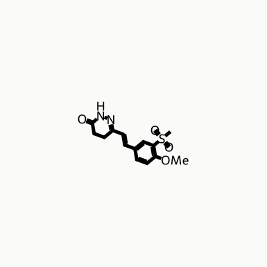 COc1ccc(C=CC2=NNC(=O)CC2)cc1S(C)(=O)=O